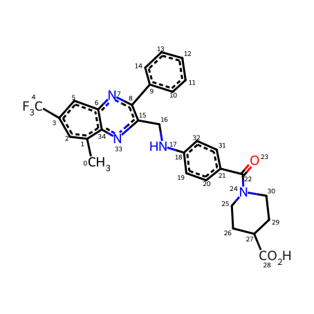 Cc1cc(C(F)(F)F)cc2nc(-c3ccccc3)c(CNc3ccc(C(=O)N4CCC(C(=O)O)CC4)cc3)nc12